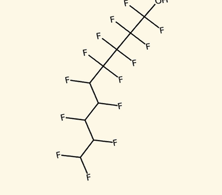 OC(F)(F)C(F)(F)C(F)(F)C(F)(F)C(F)C(F)C(F)C(F)C(F)F